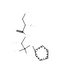 CCCC[C@H](NC(=O)[C@@H](N)CC(C)C)C(O)(Sc1ccccc1)[N+](=O)[O-]